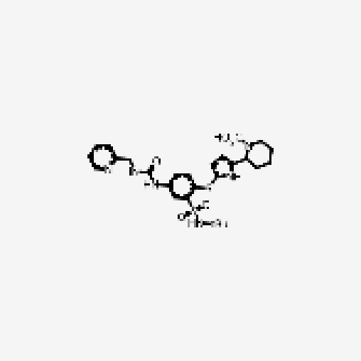 CC(C)(C)NS(=O)(=O)c1cc(NC(=O)NCc2ccccn2)ccc1Sc1ccc(C2CCCCN2C(=O)O)[nH]1